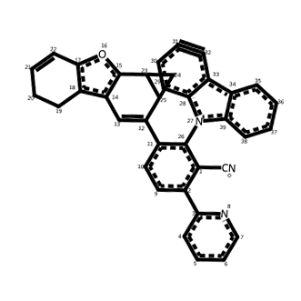 N#Cc1c(-c2ccccn2)ccc(C2=Cc3c(oc4c3CCC=C4)C3CC23)c1-n1c2ccc#cc2c2ccccc21